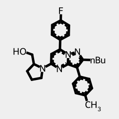 CCCCc1nn2c(-c3ccc(F)cc3)cc(N3CCCC3CO)nc2c1-c1ccc(C)cc1